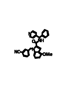 COc1cccc2c1cc(C(=O)NC(c1ccccc1)c1ccncc1)n2Cc1cccc(C#N)c1